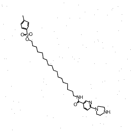 Cc1ccc(S(=O)(=O)OCCCCCCCCCCCCCCCCCCNC(=O)c2ccc(N3CCNCC3)nc2)cc1